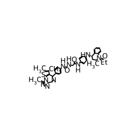 CCC(=O)N1c2ccccc2[C@H](Nc2ccc(NC(=O)CNC(=O)Nc3ccc(C4=NCc5nnc(C)n5-c5sc(C)c(C)c54)cc3)cc2)C[C@@H]1C